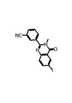 Cn1c(-c2cccc(C#N)c2)nc2ccc(I)cc2c1=O